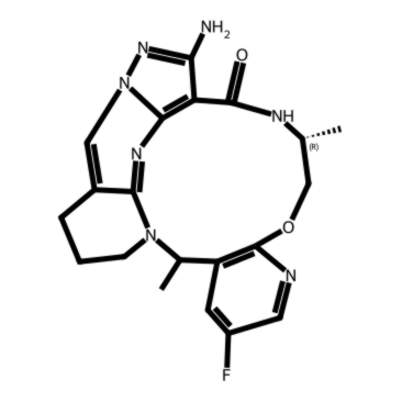 CC1c2cc(F)cnc2OC[C@@H](C)NC(=O)c2c(N)nn3cc4c(nc23)N1CCC4